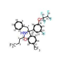 O=C(CCC(F)(F)F)NC(Cc1ccccc1)(c1ccc(C(F)(F)F)cc1)c1cc(F)cc(OC(F)(F)C(F)F)c1